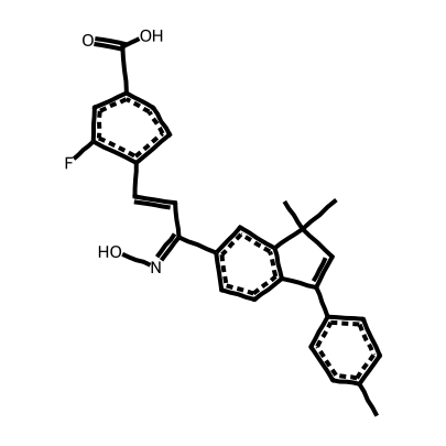 Cc1ccc(C2=CC(C)(C)c3cc(C(/C=C/c4ccc(C(=O)O)cc4F)=NO)ccc32)cc1